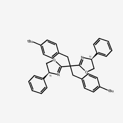 CC(C)(C)c1ccc(CC(Cc2ccc(C(C)(C)C)cc2)(C2=N[C@@H](c3ccccc3)CO2)C2=N[C@@H](c3ccccc3)CO2)cc1